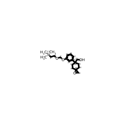 C[Si](C)(C)CCOCOc1cccc(C2(CO)CCC3(CC2)CO3)c1